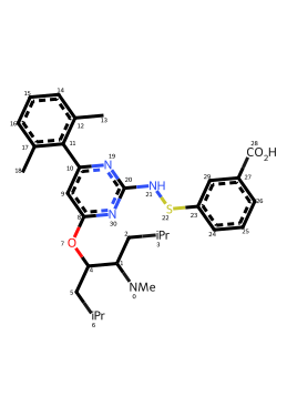 CNC(CC(C)C)C(CC(C)C)Oc1cc(-c2c(C)cccc2C)nc(NSc2cccc(C(=O)O)c2)n1